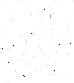 Cc1nnc(C(=O)N2CCc3ccccc3C2C)cc1C1CC1